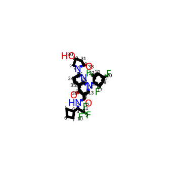 O=C(NC(C1CCC1)C(F)(F)F)c1cn(-c2c(F)cc(F)cc2F)c2nc(N3C[C@@H](O)CC3=O)ccc2c1=O